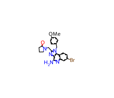 COc1ccc(Cn2c(CN3CCCC3=O)nc3c(N)nc4cc(Br)ccc4c32)cc1